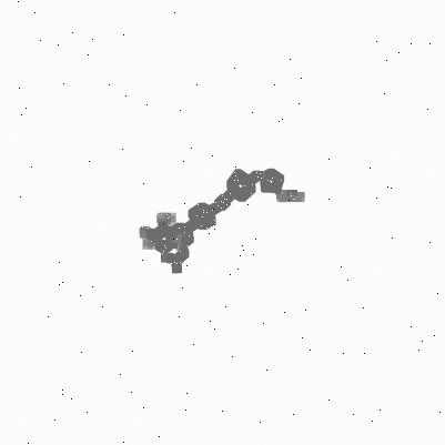 CO[C@@H]1CCN(Cc2ccc(C#Cc3ccc(C(CNCC(C)F)Cc4nc[nH]c(=O)c4O)cc3)cc2)C1